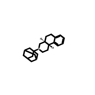 c1ccc2c(c1)CC[C@@H]1CN(C34CC5CC(CC(C5)C3)C4)CC[C@@H]21